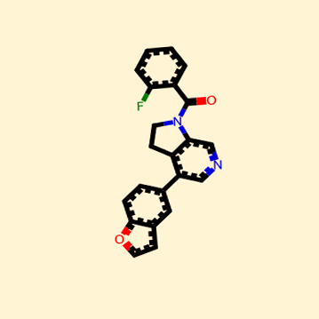 O=C(c1ccccc1F)N1CCc2c(-c3ccc4occc4c3)cncc21